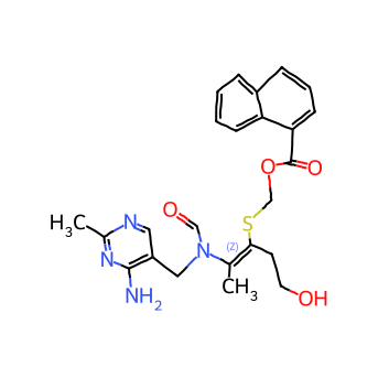 C/C(=C(\CCO)SCOC(=O)c1cccc2ccccc12)N(C=O)Cc1cnc(C)nc1N